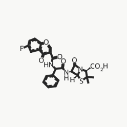 CC1(C)S[C@@H]2[C@H](NC(=O)C(NC(=O)c3coc4ccc(F)cc4c3=O)c3ccccc3)C(=O)N2[C@H]1C(=O)O